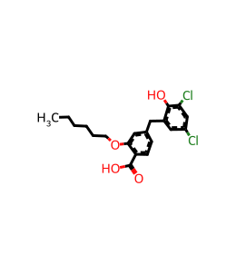 CCCCCCOc1cc(Cc2cc(Cl)cc(Cl)c2O)ccc1C(=O)O